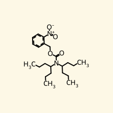 CCCC(CCC)N(C(=O)OCc1ccccc1[N+](=O)[O-])C(CCC)CCC